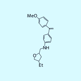 C=C(c1ccc(NCC2CC(CC)CO2)cc1)c1ccc(OC)cc1